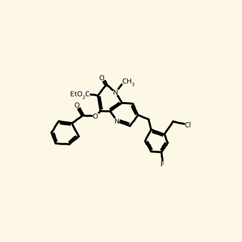 CCOC(=O)c1c(OC(=O)c2ccccc2)c2ncc(Cc3ccc(F)cc3CCl)cc2n(C)c1=O